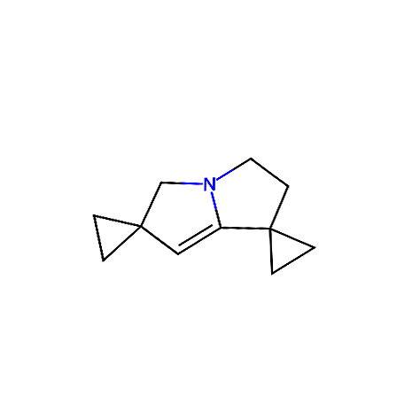 C1=C2N(CCC23CC3)CC12CC2